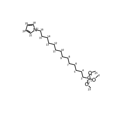 CO[Si](CCCCCCCCCCCCCCn1cccc1)(OC)OC